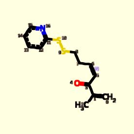 C=C(C)C(=O)/C=C\CCSSc1ccccn1